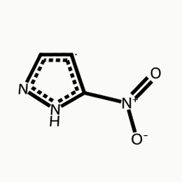 O=[N+]([O-])c1[c]cn[nH]1